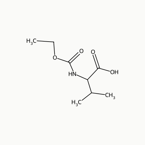 CCOC(=O)NC(C(=O)O)C(C)C